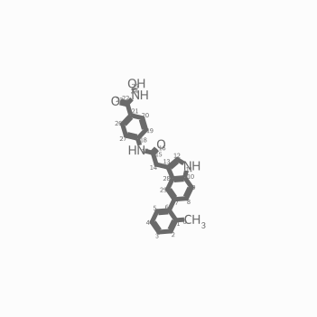 Cc1ccccc1-c1ccc2[nH]cc(CC(=O)Nc3ccc(C(=O)NO)cc3)c2c1